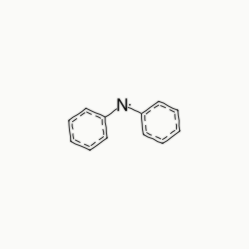 c1ccc([N]c2ccccc2)cc1